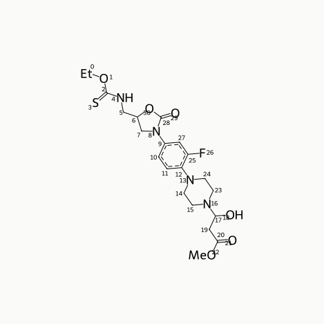 CCOC(=S)NCC1CN(c2ccc(N3CCN(C(O)CC(=O)OC)CC3)c(F)c2)C(=O)O1